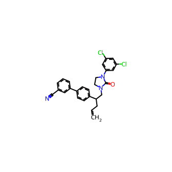 C=CCC(CN1CCN(c2cc(Cl)cc(Cl)c2)C1=O)c1ccc(-c2cccc(C#N)c2)cc1